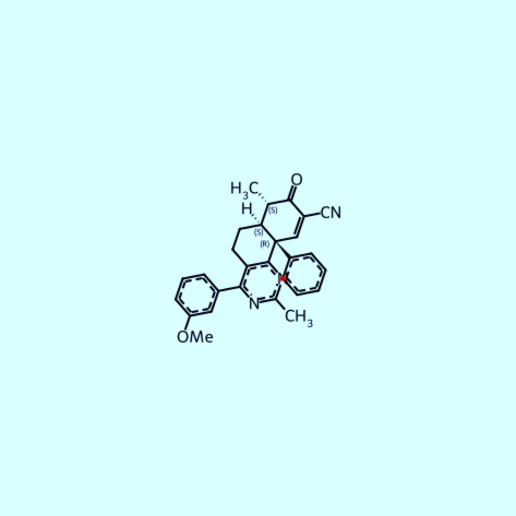 COc1cccc(-c2nc(C)nc3c2CC[C@H]2[C@H](C)C(=O)C(C#N)=C[C@]32c2ccccc2)c1